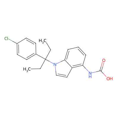 CCC(CC)(c1ccc(Cl)cc1)n1ccc2c(NC(=O)O)cccc21